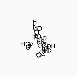 CN1C[C@@H](C(=O)N[C@]2(C)O[C@@]3(O)[C@@H]4CCCN4C(=O)[C@H](Cc4ccccc4)N3C2=O)C=C2c3cccc4[nH]cc(c34)C[C@H]21.CS(=O)(=O)O